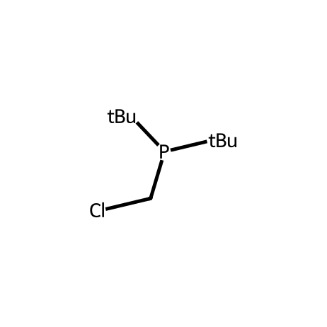 CC(C)(C)P(CCl)C(C)(C)C